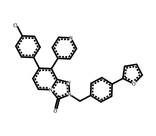 O=c1n(Cc2ccc(-c3ccco3)cc2)nc2c(-c3ccncc3)c(-c3ccc(Cl)cc3)ccn12